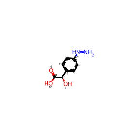 NNc1ccc([C@@H](O)C(=O)O)cc1